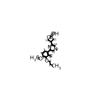 CCCOc1c(OC)ccc(-c2cncc(C3COB(O)C3)n2)c1F